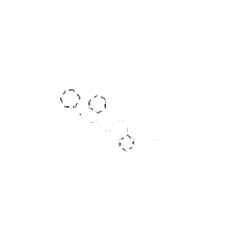 O=C(O)COc1cccc2c1OCC2CCSC(c1ccccc1)(c1ccccc1)C(F)(F)F